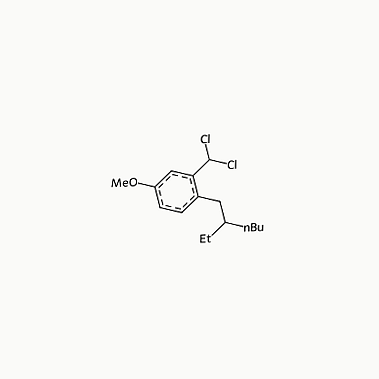 CCCCC(CC)Cc1ccc(OC)cc1C(Cl)Cl